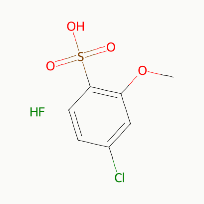 COc1cc(Cl)ccc1S(=O)(=O)O.F